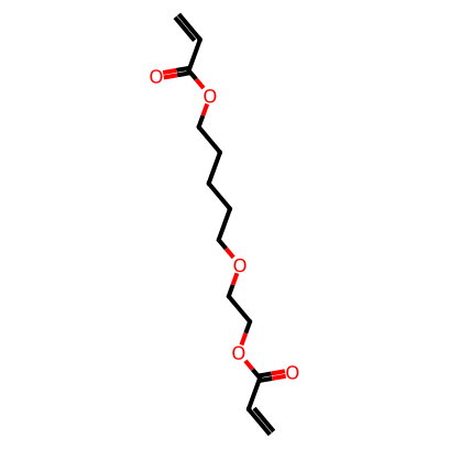 C=CC(=O)OCCCCCOCCOC(=O)C=C